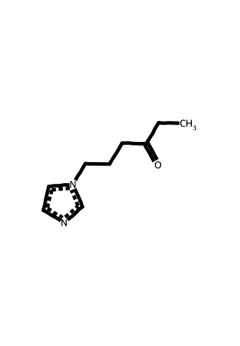 CCC(=O)CCCn1ccnc1